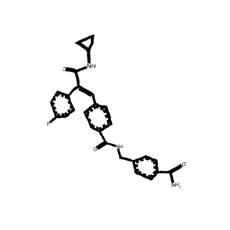 NC(=O)c1ccc(CNC(=O)c2ccc(/C=C(/C(=O)NC3CC3)c3ccc(F)cc3)cc2)cc1